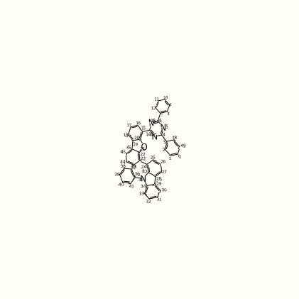 c1ccc(-c2nc(-c3ccccc3)nc(-c3cccc4c3oc3c(-c5cccc6c7ccccc7n(-c7ccccc7)c56)cccc34)n2)cc1